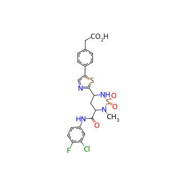 CN1C(C(=O)Nc2ccc(F)c(Cl)c2)CC(c2ncc(-c3ccc(CC(=O)O)cc3)s2)NS1(=O)=O